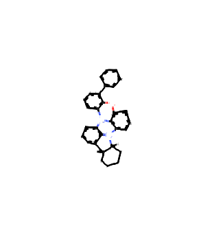 CC12CCCCC1(C)N1c3cccc4c3N(c3cccc(-c5ccccc5)c3O4)c3cccc2c31